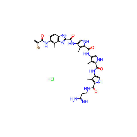 C=C(Br)C(=O)Nc1ccc2[nH]c(C(=O)Nc3c[nH]c(C(=O)Nc4c[nH]c(C(=O)Nc5c[nH]c(C(=O)NCCC(=N)N)c5C)c4C)c3C)nc2c1C.Cl